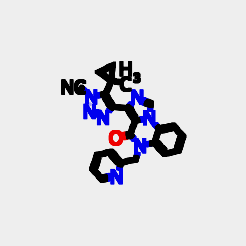 CC1(c2c(-c3ncn4c3c(=O)n(Cc3ccccn3)c3ccccc34)nnn2C#N)CC1